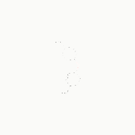 CCCCCCC1C=CC(OC2C=CC(CCCCCC)CC2)CC1